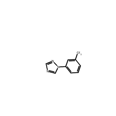 FC(F)(F)c1cccc(-n2cn[c]n2)c1